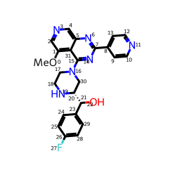 COc1cncc2nc(-c3ccncc3)nc(N3CCN[C@@H](C(O)c4ccc(F)cc4)C3)c12